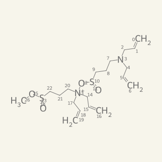 C=CCN(CC=C)CCCS(=O)O[N+](CC=C)(CC=C)CCCS(=O)OC